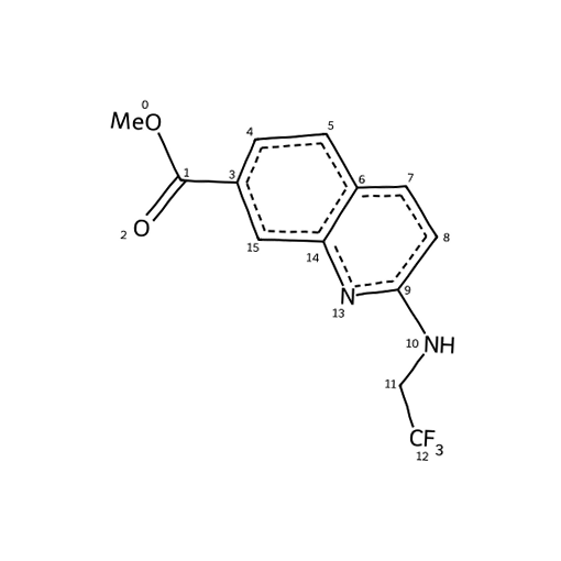 COC(=O)c1ccc2ccc(NCC(F)(F)F)nc2c1